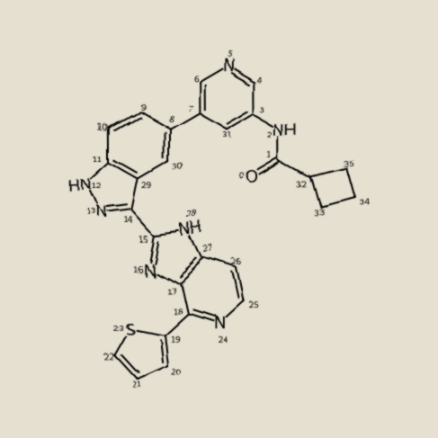 O=C(Nc1cncc(-c2ccc3[nH]nc(-c4nc5c(-c6cccs6)nccc5[nH]4)c3c2)c1)C1CCC1